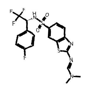 CN(C)C=Nc1nc2ccc(S(=O)(=O)N[C@H](c3ccc(F)cc3)C(F)(F)F)cc2s1